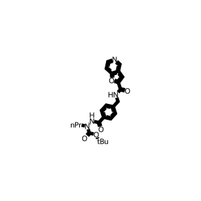 CCCN(NC(=O)c1ccc(CNC(=O)c2cc3cnccc3o2)cc1)C(=O)OC(C)(C)C